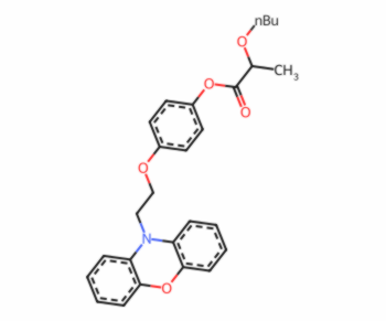 CCCCOC(C)C(=O)Oc1ccc(OCCN2c3ccccc3Oc3ccccc32)cc1